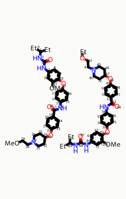 CCC(CC)NC(=O)Nc1ccc(Oc2ccc(NC(=O)c3ccc(OC4CCN(CCOC)CC4)cc3)cc2)c(OC)c1.CCOCCN1CCC(Oc2ccc(C(=O)Nc3ccc(Oc4ccc(NC(=O)NC(CC)CC)cc4OC)cc3)cc2)CC1